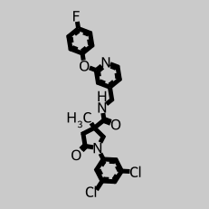 CC1(C(=O)NCc2ccnc(Oc3ccc(F)cc3)c2)CC(=O)N(c2cc(Cl)cc(Cl)c2)C1